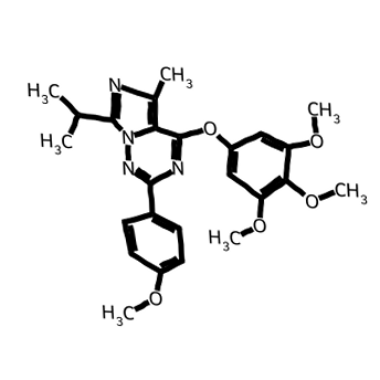 COc1ccc(-c2nc(Oc3cc(OC)c(OC)c(OC)c3)c3c(C)nc(C(C)C)n3n2)cc1